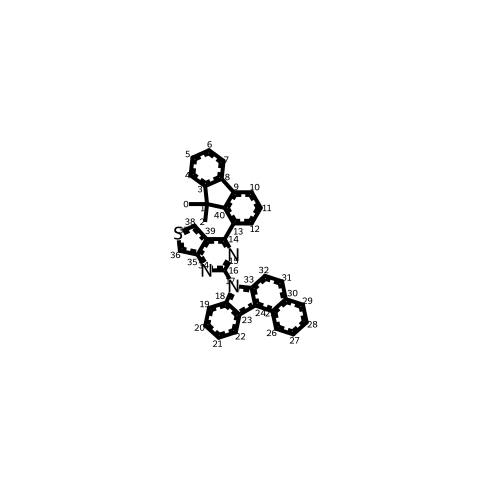 CC1(C)c2ccccc2-c2cccc(-c3nc(-n4c5ccccc5c5c6ccccc6ccc54)nc4cscc34)c21